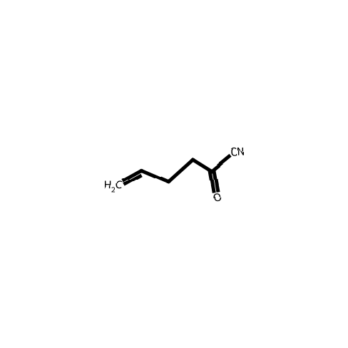 C=CCCC(=O)C#N